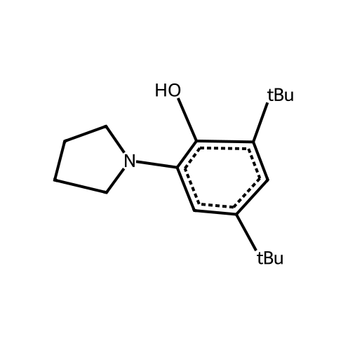 CC(C)(C)c1cc(N2CCCC2)c(O)c(C(C)(C)C)c1